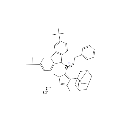 CC1=CC(C)[C](/[Zr+2](=[CH]/Cc2ccccc2)[CH]2c3ccc(C(C)(C)C)cc3-c3cc(C(C)(C)C)ccc32)=C1C12CC3CC(CC(C3)C1)C2.[Cl-].[Cl-]